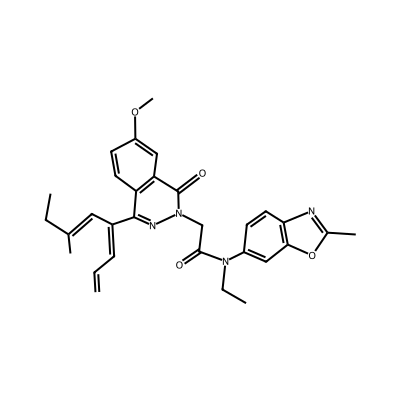 C=C/C=C(\C=C(/C)CC)c1nn(CC(=O)N(CC)c2ccc3nc(C)oc3c2)c(=O)c2cc(OC)ccc12